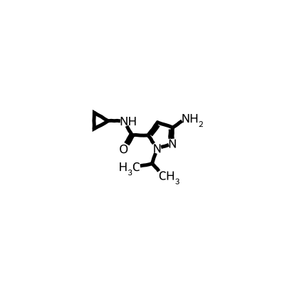 CC(C)n1nc(N)cc1C(=O)NC1CC1